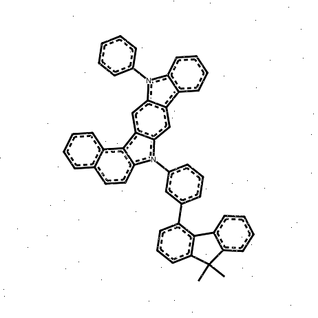 CC1(C)c2ccccc2-c2c(-c3cccc(-n4c5cc6c7ccccc7n(-c7ccccc7)c6cc5c5c6ccccc6ccc54)c3)cccc21